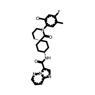 Cc1cc(N2CCC[C@]3(CC[C@@H](NC(=O)c4cnc5cccnn45)CC3)C2=O)c(Cl)cc1F